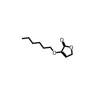 CCCCCCOC1=CCOC1=O